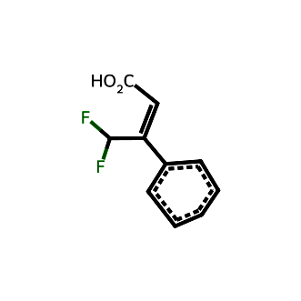 O=C(O)C=C(c1ccccc1)C(F)F